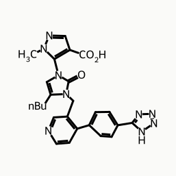 CCCCc1cn(-c2c(C(=O)O)cnn2C)c(=O)n1Cc1cnccc1-c1ccc(-c2nnn[nH]2)cc1